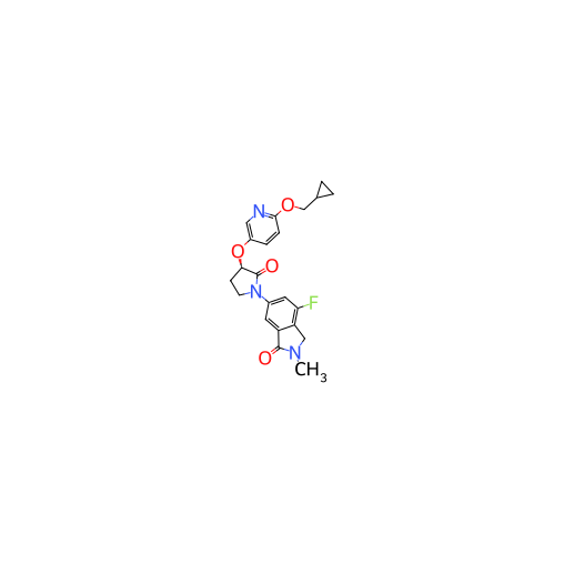 CN1Cc2c(F)cc(N3CC[C@@H](Oc4ccc(OCC5CC5)nc4)C3=O)cc2C1=O